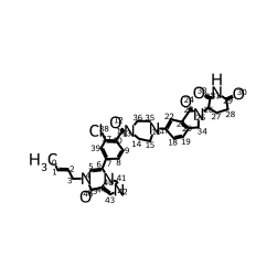 C/C=C/Cn1cc(-c2ccc(C(=O)N3CCN(c4ccc5c(c4)C(=O)N(C4CCC(=O)NC4=O)C5)CC3)c(Cl)c2)n2cncc2c1=O